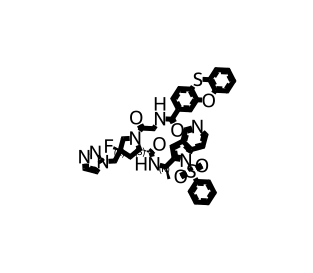 C[C@@H](NC(=O)[C@@H]1C[C@](F)(Cn2ccnn2)CN1C(=O)CNC(=O)c1ccc2c(c1)Oc1ccccc1S2)c1cc2cnccc2n1S(=O)(=O)c1ccccc1